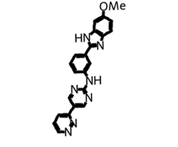 COc1ccc2nc(-c3cccc(Nc4ncc(-c5cccnn5)cn4)c3)[nH]c2c1